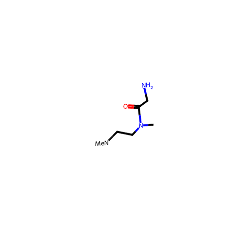 CNCCN(C)C(=O)CN